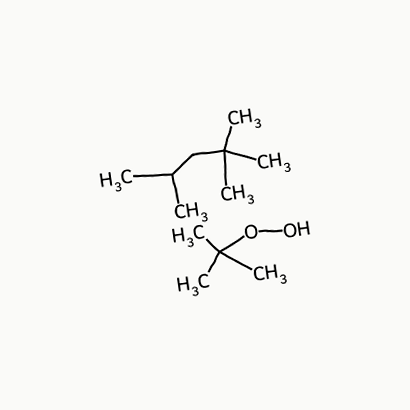 CC(C)(C)OO.CC(C)CC(C)(C)C